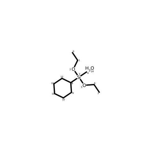 CCO[Si](C)(OCC)C1CCCCC1.O